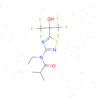 CCN(C(=O)C(C)C)c1nsc(C(O)(C(F)(F)F)C(F)(F)F)n1